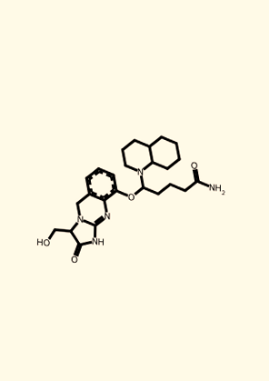 NC(=O)CCCC(Oc1cccc2c1N=C1NC(=O)C(CO)N1C2)N1CCCC2CCCCC21